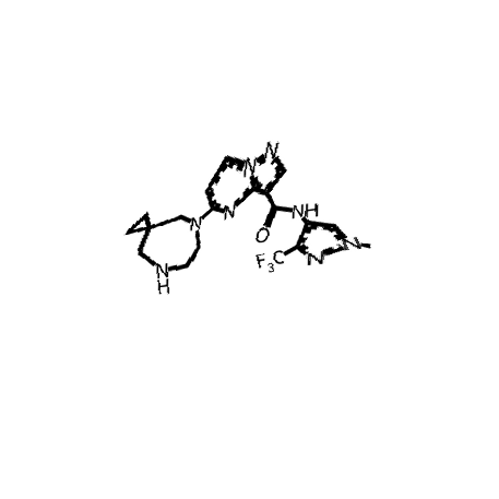 Cn1cc(NC(=O)c2cnn3ccc(N4CCNCC5(CC5)C4)nc23)c(C(F)(F)F)n1